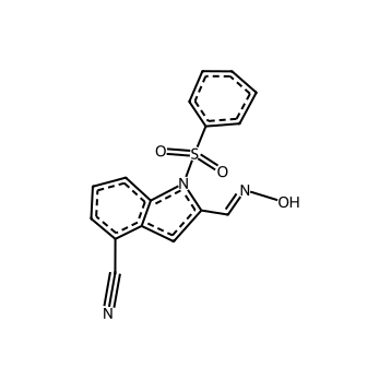 N#Cc1cccc2c1cc(/C=N/O)n2S(=O)(=O)c1ccccc1